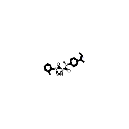 C/C=C(/C)c1ccc(N(C)C(=O)n2nnn(-c3ccccc3C)c2=O)cc1